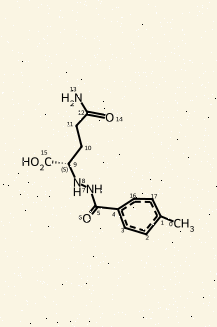 Cc1ccc(C(=O)NN[C@@H](CCC(N)=O)C(=O)O)cc1